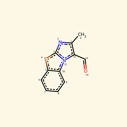 Cc1nc2sc3ccccc3n2c1C=O